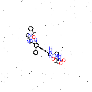 COC(=O)N[C@H](C(=O)N1CCCC1c1ncc(C#CC#Cc2ccc(-c3cnc([C@@H]4CCCN4C(=O)C(C)c4ccccc4)[nH]3)cc2-c2ccccc2)[nH]1)C(C)C